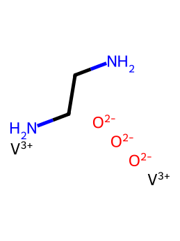 NCCN.[O-2].[O-2].[O-2].[V+3].[V+3]